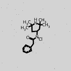 CC1(C)CC(N(Cl)C(=O)Cc2ccccc2)CC(C)(C)N1